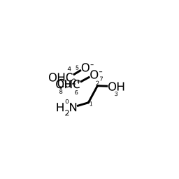 NCCO.O=C[O-].O=C[O-].[Cu+2]